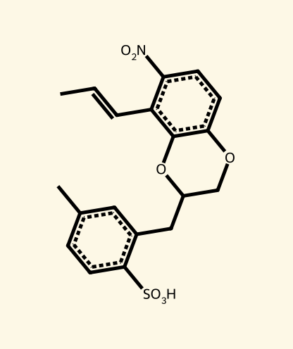 CC=Cc1c([N+](=O)[O-])ccc2c1OC(Cc1cc(C)ccc1S(=O)(=O)O)CO2